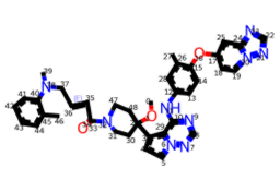 COC1(c2ccn3ncnc(Nc4ccc(Oc5ccn6ncnc6c5)c(C)c4)c23)CCN(C(=O)/C=C/CN(C)c2ccccc2C)CC1